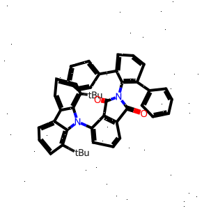 CC(C)(C)c1cccc2c3cccc(C(C)(C)C)c3n(-c3cccc4c3C(=O)N(c3c(-c5ccccc5)cccc3-c3ccccc3)C4=O)c12